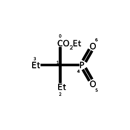 CCOC(=O)C(CC)(CC)P(=O)=O